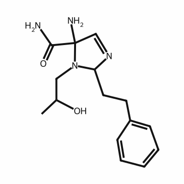 CC(O)CN1C(CCc2ccccc2)N=CC1(N)C(N)=O